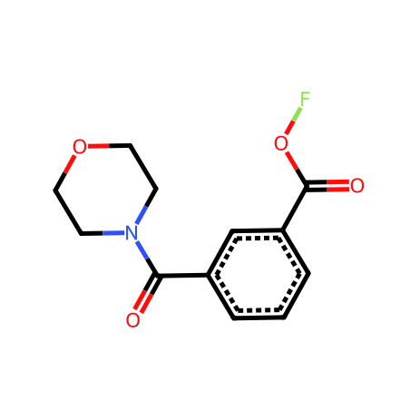 O=C(OF)c1cccc(C(=O)N2CCOCC2)c1